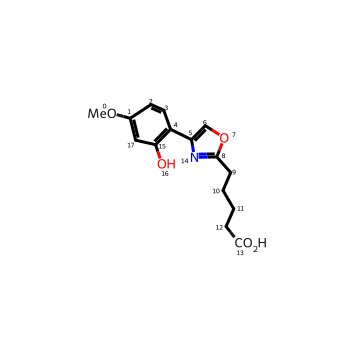 COc1ccc(-c2coc(CCCCC(=O)O)n2)c(O)c1